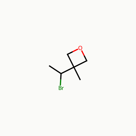 CC(Br)C1(C)COC1